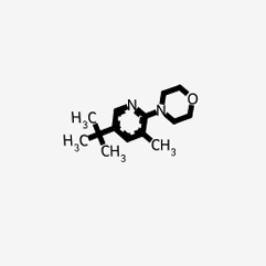 Cc1cc(C(C)(C)C)cnc1N1CCOCC1